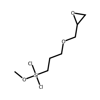 CO[Si](Cl)(Cl)CCCOCC1CO1